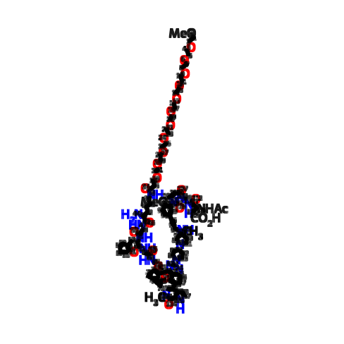 COCCOCCOCCOCCOCCOCCOCCOCCOCCOCCOCCOCCC(=O)NCCCC[C@H](N)C(=O)NCC(=O)N[C@@H](Cc1ccccc1)C(=O)NCC(=O)NCOC[C@](OC1CC1)(c1ccccc1)c1nc(N2CCC(N3CCC(C)(NCC#Cc4ccc(OC)c(-n5ccc(=O)n(CNC(=O)[C@H](CC(=O)O)NC(C)=O)c5=O)c4)CC3)CC2)nc2ccc(-c3cn(C)c(=O)c4[nH]ccc34)cc12